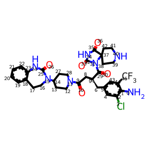 Nc1c(Cl)cc(C[C@@H](CC(=O)N2CCC(N3CCc4ccccc4NC3=O)CC2)C(=O)N2C(=O)NC(=O)C23CCNCC3)cc1C(F)(F)F